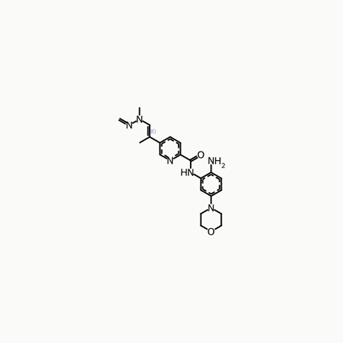 C=NN(C)/C=C(\C)c1ccc(C(=O)Nc2cc(N3CCOCC3)ccc2N)nc1